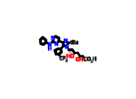 CC(C)(C)c1nc(-c2ccnc(Nc3ccccc3)n2)c(-c2cccc(C(F)(F)F)c2)n1/C=C/C(O)CC(O)CC(=O)O